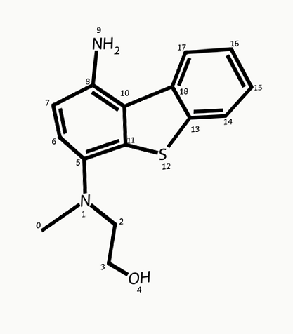 CN(CCO)c1ccc(N)c2c1sc1ccccc12